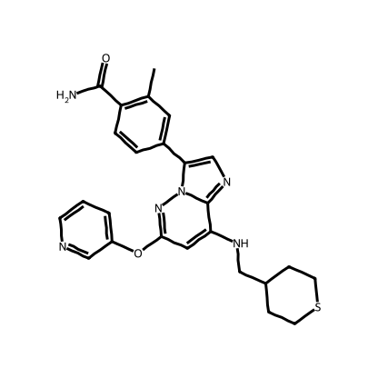 Cc1cc(-c2cnc3c(NCC4CCSCC4)cc(Oc4cccnc4)nn23)ccc1C(N)=O